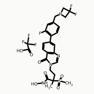 CC(CCn1cnc2cc(-c3ccc(CN4CC(F)(F)C4)cc3F)ccc2c1=O)(C(=O)NO)S(C)(=O)=O.O=C(O)C(F)(F)F